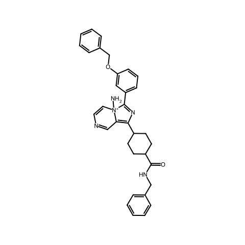 N[N+]12C=CN=CC1=C(C1CCC(C(=O)NCc3ccccc3)CC1)N=C2c1cccc(OCc2ccccc2)c1